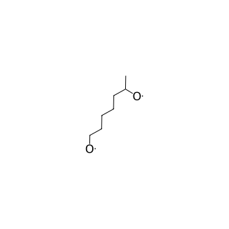 CC([O])CCCCC[O]